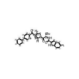 Cc1ccc2[nH]c(C(=O)N[C@H](C(=O)N3C[C@@H]4C[C@H]3CN4C(=O)c3ccc(-c4ccccc4)cn3)C(C)(C)C)cc2c1